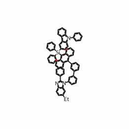 CCc1ccc2nc(-c3ccccc3)n(-c3cccc(-c4cccc(-c5c6ccccc6c([Si](c6ccccc6)(c6ccccc6)c6ccc7c(c6)c6ccccc6n7-c6ccccc6)c6ccccc56)c4)c3)c2c1